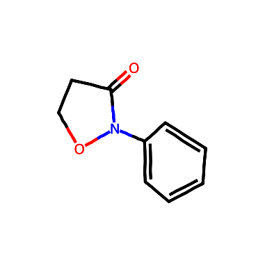 O=C1CCON1c1ccccc1